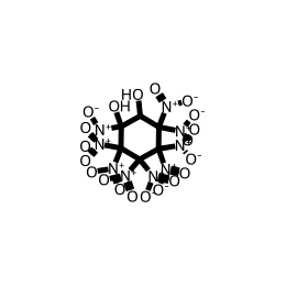 O=[N+]([O-])C1(O)C(O)C([N+](=O)[O-])([N+](=O)[O-])C([N+](=O)[O-])([N+](=O)[O-])C([N+](=O)[O-])([N+](=O)[O-])C1([N+](=O)[O-])[N+](=O)[O-]